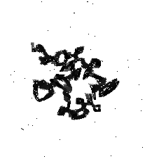 CCOC(=O)N1CCN(C(=O)C(CCC(=O)OCC2(CC)COC2)NC(=O)c2cc(OCC(=O)N3CCCC3C(=O)NC3CCC3)n(-c3ccccc3)n2)CC1